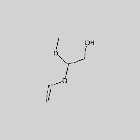 C=COC(CO)OC